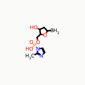 BC1CC(O)C(COP(=O)(O)n2ccnc2C)O1